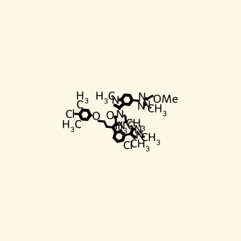 COCc1nc(-c2ccc3c(c2)c(N2C[C@@H](C)n4c(c(CCCOc5cc(C)c(Cl)c(C)c5)c5ccc(Cl)c(-c6c(C)nn(C)c6C)c54)C2=O)cn3C)nn1C